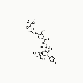 COc1cc(C(=O)NCC(O)(c2cc3c(c(-c4ccc(F)cc4)n2)OCC3(C)NCl)C(F)(F)F)ccc1OCC(C)OC(=O)C(NCl)C(C)C